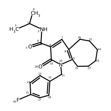 CC(C)NC(=O)c1cc2c(n(Cc3ccc(F)cc3)c1=O)CCCCCC2